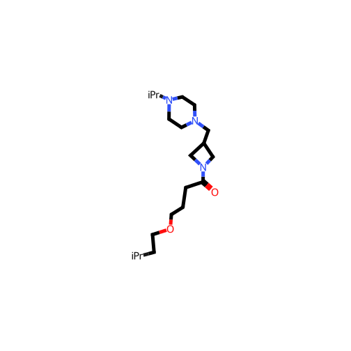 CC(C)CCOCCCC(=O)N1CC(CN2CCN(C(C)C)CC2)C1